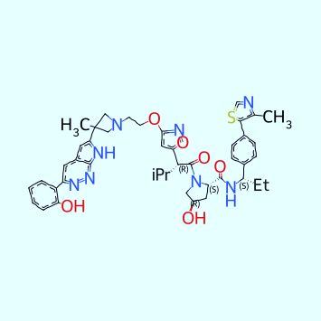 CC[C@H](NC(=O)[C@@H]1C[C@@H](O)CN1C(=O)[C@@H](c1cc(OCCN2CC(C)(c3cc4cc(-c5ccccc5O)nnc4[nH]3)C2)no1)C(C)C)c1ccc(-c2scnc2C)cc1